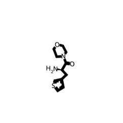 N[C@H](Cc1ccsc1)C(=O)N1CCOCC1